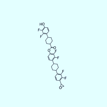 O=C(Oc1ccc(C2CCC(c3ccc(C4CO4)c(F)c3F)CC2)c(F)c1F)C1CCC(c2ccc(O)c(F)c2F)CC1